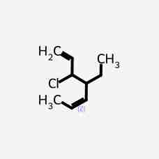 C=CC(Cl)C(/C=C\C)CC